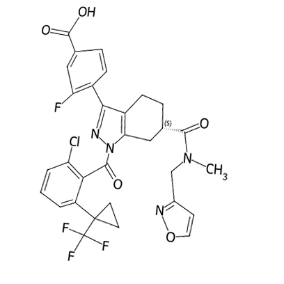 CN(Cc1ccon1)C(=O)[C@H]1CCc2c(-c3ccc(C(=O)O)cc3F)nn(C(=O)c3c(Cl)cccc3C3(C(F)(F)F)CC3)c2C1